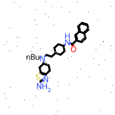 CCCCN(CCC1CCC(NC(=O)c2ccc3ccccc3c2)CC1)[C@H]1CCc2nc(N)sc2C1